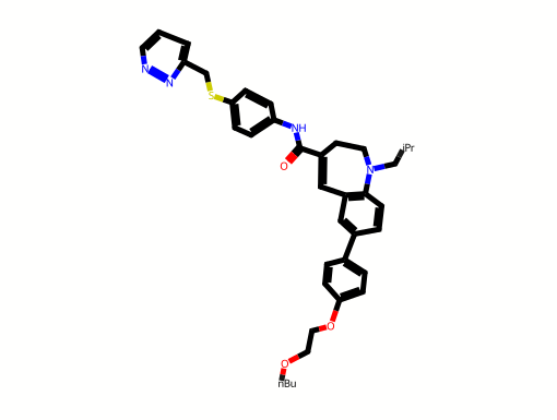 CCCCOCCOc1ccc(-c2ccc3c(c2)C=C(C(=O)Nc2ccc(SCc4cccnn4)cc2)CCN3CC(C)C)cc1